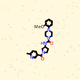 COc1ccccc1N1CCN(C(=O)NC2CCN(C(=O)c3ccc(C)nc3)C2)CC1